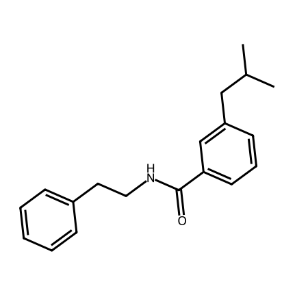 CC(C)Cc1cccc(C(=O)NCCc2ccccc2)c1